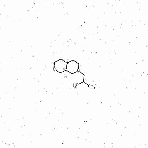 CC(C)CN1CCN2CCOC[C@@H]2C1